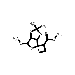 COC(=O)C1CC[C@@]12OC(OC)C1OC(C)(C)OC12